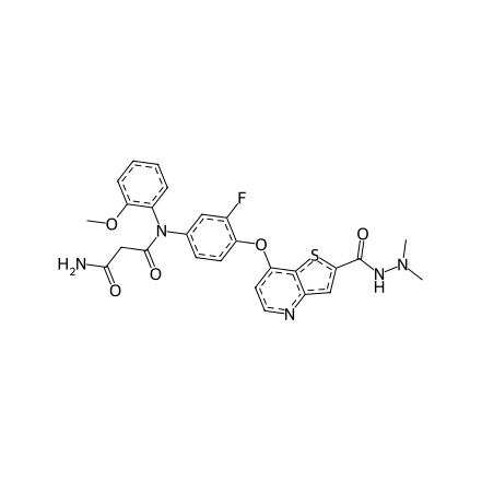 COc1ccccc1N(C(=O)CC(N)=O)c1ccc(Oc2ccnc3cc(C(=O)NN(C)C)sc23)c(F)c1